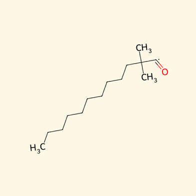 CCCCCCCCCCC(C)(C)[C]=O